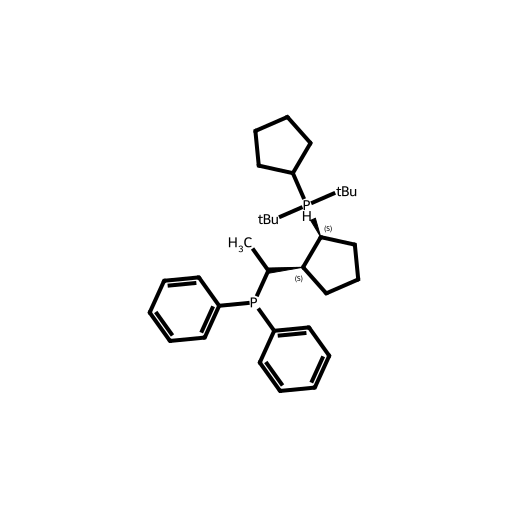 CC([C@@H]1CCC[C@@H]1[PH](C1CCCC1)(C(C)(C)C)C(C)(C)C)P(c1ccccc1)c1ccccc1